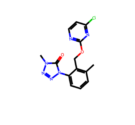 Cc1cccc(-n2nnn(C)c2=O)c1COc1nccc(Cl)n1